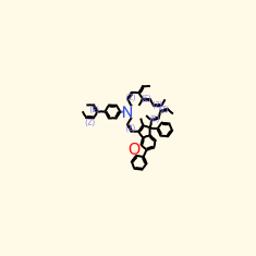 CC=C(/C=C\CN(C/C=C\C1=C(C)C(/C(C)=C/C=C\C)(c2ccccc2)c2ccc3c(oc4ccccc43)c21)c1ccc(C(/C=C\C)=C/C)cc1)/C(C)=C/C=C\C